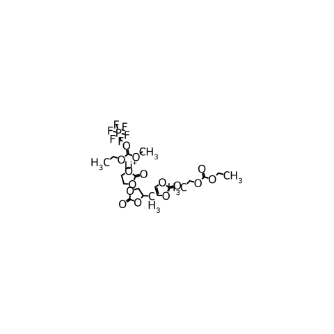 CC1COC(=O)O1.CCOC(=O)OC.CCOC(=O)OCC.F[P-](F)(F)(F)(F)F.O=C1OCCO1.O=c1occo1.[Li+]